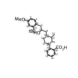 COc1ccc(CC(O)CN2CCN(c3ccccc3C(=O)O)CC2C)c(C(C)(C)C)c1